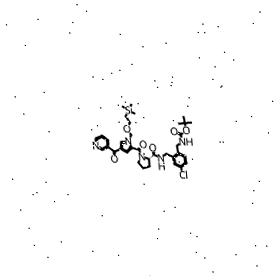 CC(C)(C)OC(=O)NCc1ccc(Cl)cc1CNC(=O)[C@@H]1CCCN1C(=O)c1cc(C(=O)c2cccnc2)cn1COCC[Si](C)(C)C